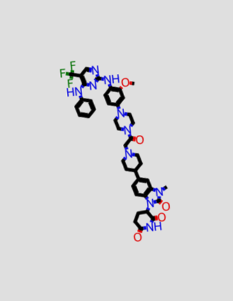 COc1cc(N2CCN(C(=O)CN3CCC(c4ccc5c(c4)n(C)c(=O)n5C4CCC(=O)NC4=O)CC3)CC2)ccc1Nc1ncc(C(F)(F)F)c(Nc2ccccc2)n1